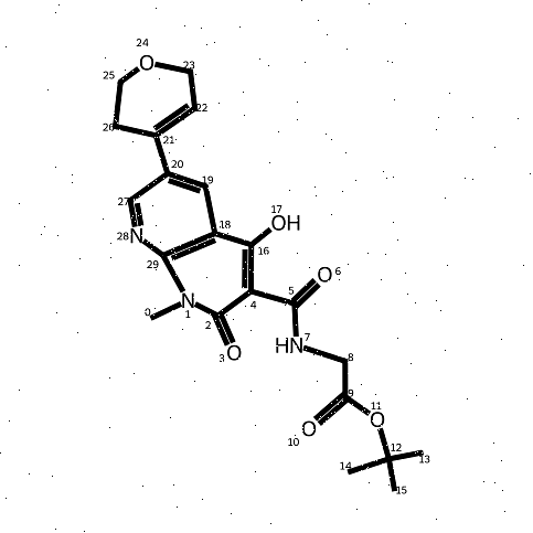 Cn1c(=O)c(C(=O)NCC(=O)OC(C)(C)C)c(O)c2cc(C3=CCOCC3)cnc21